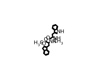 CNC(Cc1c[nH]c2ccccc12)C(=O)NC(CC1=CCc2ccccc21)C(=O)OC